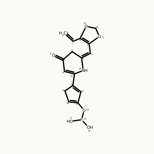 C=CC1=C(/C=C2\CC(=O)C=C(C3=CC(OP(O)O)=CC3)N2)OCO1